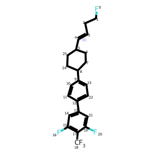 FCC/C=C/C1CCC(c2ccc(-c3cc(F)c(C(F)(F)F)c(F)c3)cc2)CC1